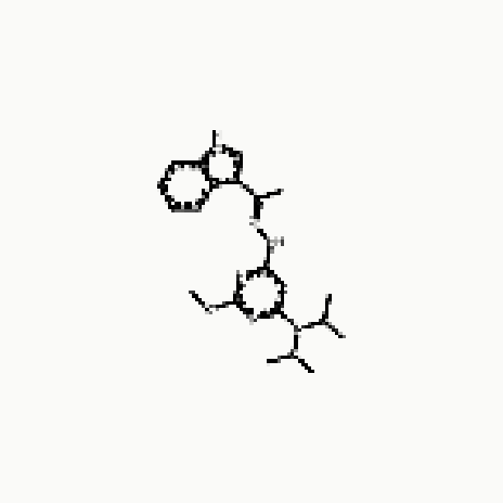 COc1nc(NN=C(C)c2c[nH]c3ccccc23)nc(N(C(C)C)C(C)C)n1